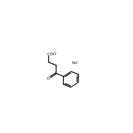 O=C([O-])CCC(=O)c1ccccc1.[Na+]